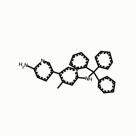 Cc1cc(NC(c2ccccc2)(c2ccccc2)c2ccccc2)ncc1-c1ccc(N)nc1